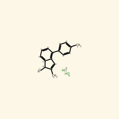 CC1=Cc2c(-c3ccc(C)cc3)cccc2[CH]1[Zr].Cl.Cl